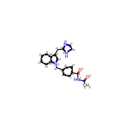 CC(=O)NC(=O)c1ccc(Cn2cc(Cc3ncc[nH]3)c3ccccc32)cc1